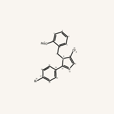 COc1ccccc1Cn1c(C(F)(F)F)cnc1-c1ccc(Br)cc1